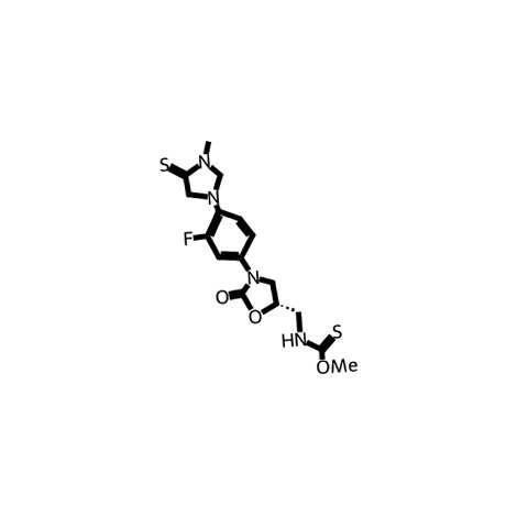 COC(=S)NC[C@H]1CN(c2ccc(N3CC(=S)N(C)C3)c(F)c2)C(=O)O1